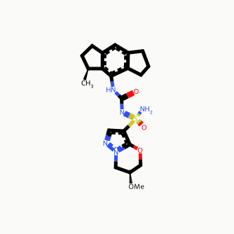 CO[C@@H]1COc2c(S(N)(=O)=NC(=O)Nc3c4c(cc5c3[C@@H](C)CC5)CCC4)cnn2C1